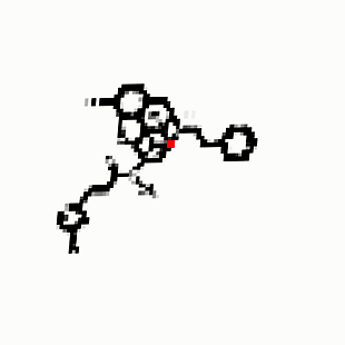 CN(C(=O)/C=C/c1cc(Br)cs1)C1CC[C@@]2(O)[C@H]3Cc4ccc(O)c5c4[C@@]2(C(O)CN3CCc2ccccc2)C1O5